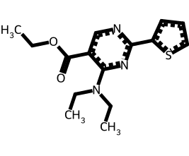 CCOC(=O)c1cnc(-c2cccs2)nc1N(CC)CC